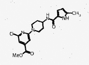 COC(=O)c1cc(Cl)nc(N2CCC(NC(=O)c3ccc(C)[nH]3)CC2)c1